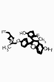 CC1=C(c2cc(O)ccc2F)C(c2ccc(OC[C@H](C)N3CC(CF)C3)cc2)Oc2ccc(O)cc21